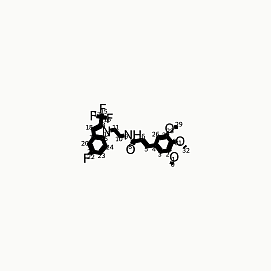 COc1cc(C=CC(=O)NCCn2c(C(F)(F)F)cc3cc(F)ccc32)cc(OC)c1OC